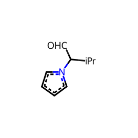 CC(C)C(C=O)n1cccc1